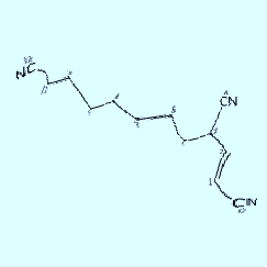 N#CC=CC(C#N)CCCCCCCC#N